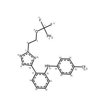 FC(F)(P)OCCn1nnc(-c2ccccc2Nc2ccc(C(F)(F)F)cc2)n1